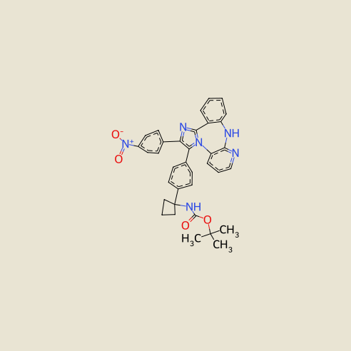 CC(C)(C)OC(=O)NC1(c2ccc(-c3c(-c4ccc([N+](=O)[O-])cc4)nc4n3-c3cccnc3Nc3ccccc3-4)cc2)CCC1